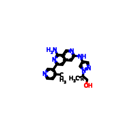 Cc1ccncc1-c1cc2cc(Nc3cnn([C@H](C)CO)c3)ncc2c(N)n1